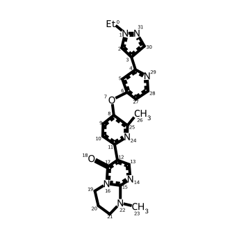 CCn1cc(-c2cc(Oc3ccc(-c4cnc5n(c4=O)CCCN5C)nc3C)ccn2)cn1